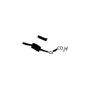 C=C.CC#COC(=O)O